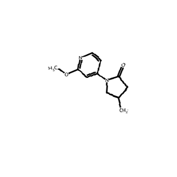 [CH2]C1CC(=O)N(c2ccnc(OC)c2)C1